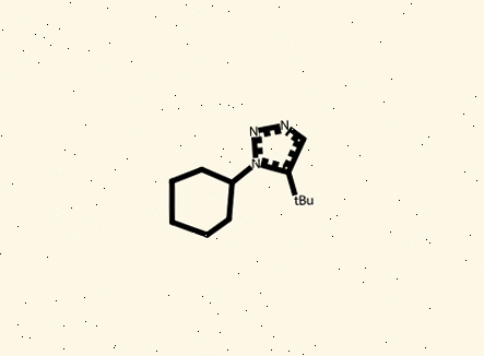 CC(C)(C)c1cnnn1C1CCCCC1